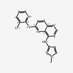 Cn1ccc(Nc2ncnc3ccc(Sc4ncccc4Cl)nc23)n1